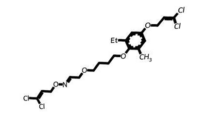 CCc1cc(OCC=C(Cl)Cl)cc(C)c1OCCCCOCC=NOCC=C(Cl)Cl